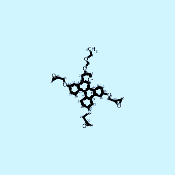 CCOCOc1ccc2c(c1)c1cc(OCC3CO3)ccc1c1c3ccc(OCC4CO4)cc3c3cc(OCC4CO4)ccc3c21